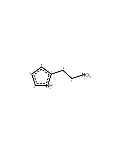 O=[N+]([O-])CCc1ccc[nH]1